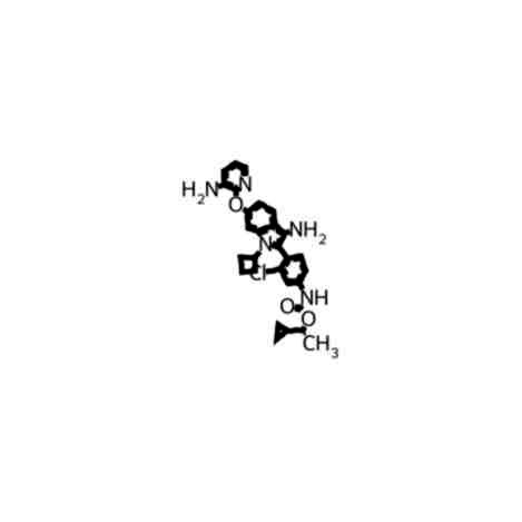 C[C@@H](OC(=O)Nc1ccc(-c2c(N)c3ccc(Oc4ncccc4N)cc3n2C2CCC2)c(Cl)c1)C1CC1